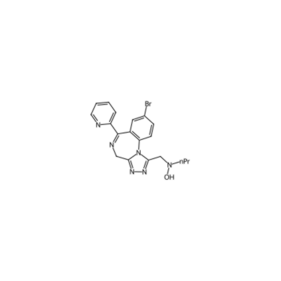 CCCN(O)Cc1nnc2n1-c1ccc(Br)cc1C(c1ccccn1)=NC2